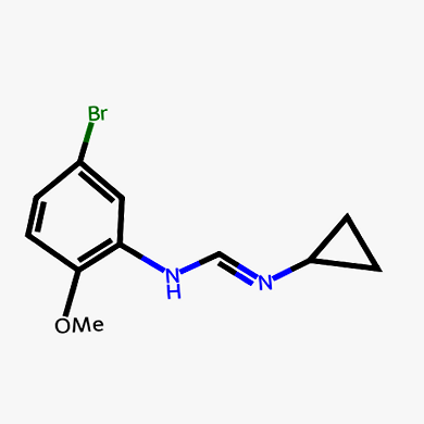 COc1ccc(Br)cc1N/C=N/C1CC1